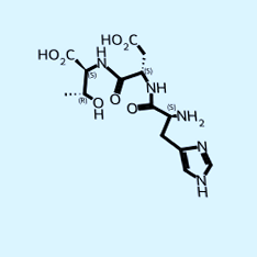 C[C@@H](O)[C@H](NC(=O)[C@H](CC(=O)O)NC(=O)[C@@H](N)Cc1c[nH]cn1)C(=O)O